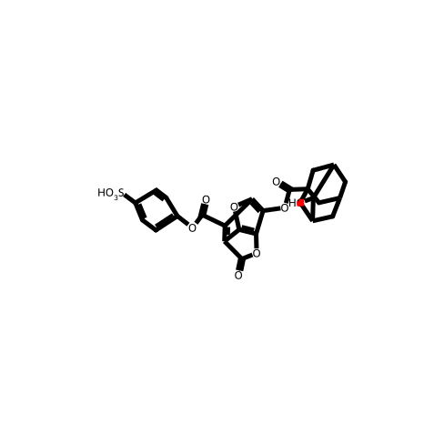 O=C1Oc2c(OC(=O)C34CC5CC(C3)C(O)C(C5)C4)c3oc2c1c3C(=O)Oc1ccc(S(=O)(=O)O)cc1